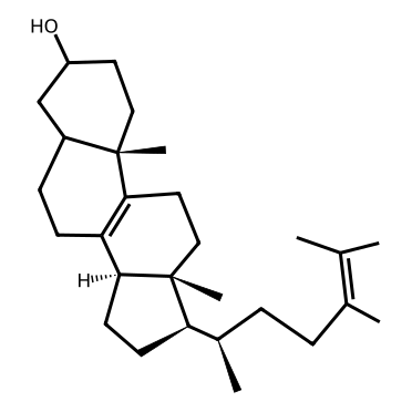 CC(C)=C(C)CC[C@@H](C)[C@H]1CC[C@H]2C3=C(CC[C@]12C)[C@@]1(C)CCC(O)CC1CC3